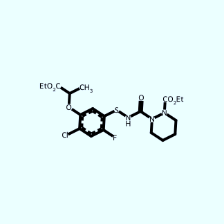 CCOC(=O)C(C)Oc1cc(SNC(=O)N2CCCCN2C(=O)OCC)c(F)cc1Cl